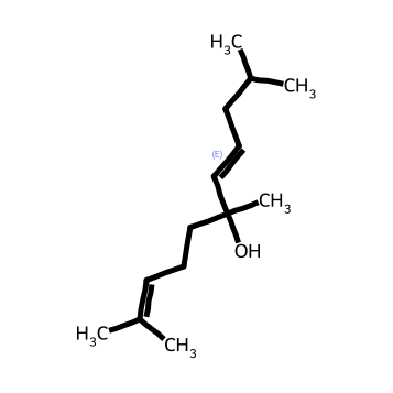 CC(C)=CCCC(C)(O)/C=C/CC(C)C